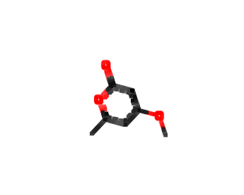 COc1cc(C)oc(=O)c1